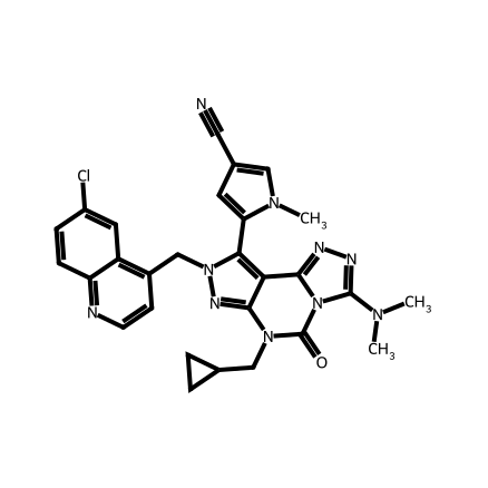 CN(C)c1nnc2c3c(-c4cc(C#N)cn4C)n(Cc4ccnc5ccc(Cl)cc45)nc3n(CC3CC3)c(=O)n12